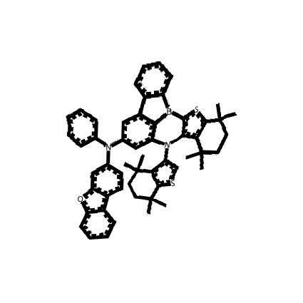 CC1(C)CCC(C)(C)c2c(N3c4cc(N(c5ccccc5)c5ccc6c(c5)oc5ccccc56)cc5c4B(c4ccccc4-5)c4sc5c(c43)C(C)(C)CCC5(C)C)csc21